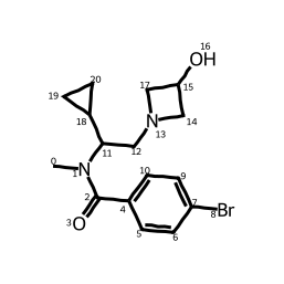 CN(C(=O)c1ccc(Br)cc1)C(CN1CC(O)C1)C1CC1